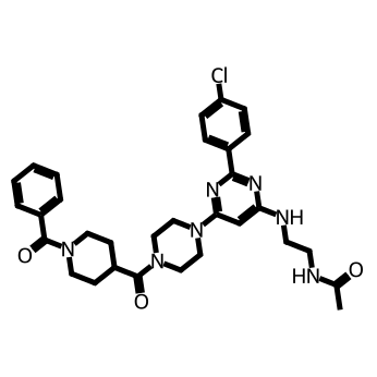 CC(=O)NCCNc1cc(N2CCN(C(=O)C3CCN(C(=O)c4ccccc4)CC3)CC2)nc(-c2ccc(Cl)cc2)n1